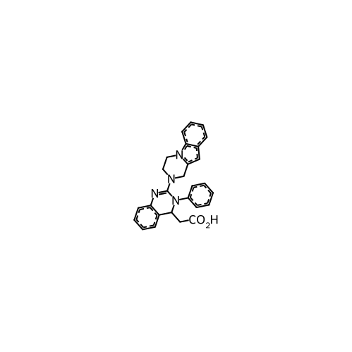 O=C(O)CC1c2ccccc2N=C(N2CCn3c(cc4ccccc43)C2)N1c1ccccc1